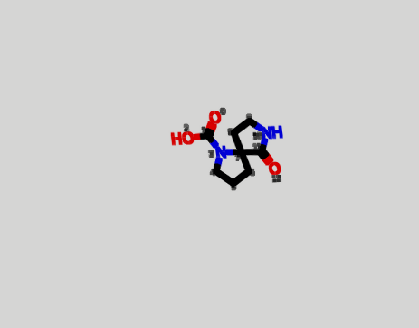 O=C(O)N1CCCC12CCNC2=O